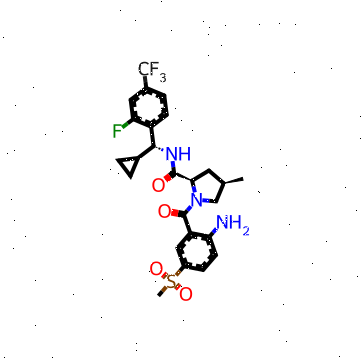 C[C@@H]1C[C@H](C(=O)N[C@@H](c2ccc(C(F)(F)F)cc2F)C2CC2)N(C(=O)c2cc(S(C)(=O)=O)ccc2N)C1